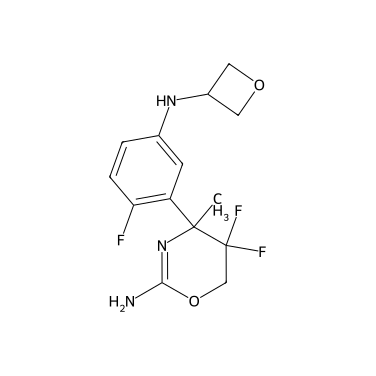 CC1(c2cc(NC3COC3)ccc2F)N=C(N)OCC1(F)F